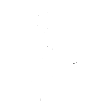 Cc1ccc(S(=O)(=O)NNC(=O)[C@@H]2C[C@@H](S)CN2S(=O)(=O)c2ccc(F)c(F)c2F)cc1